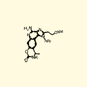 CCCn1c(CCOC)nc2c(N)nc3cc4c(cc3c21)C(C)NC(=O)O4